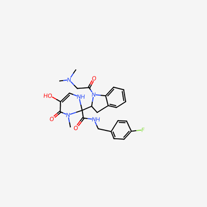 CN(C)CC(=O)N1c2ccccc2CC1C1(C(=O)NCc2ccc(F)cc2)NC=C(O)C(=O)N1C